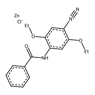 CCOc1cc(NC(=O)c2ccccc2)c(OCC)cc1[N+]#N.[Cl-].[Zn]